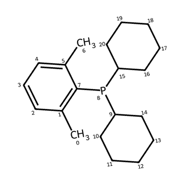 Cc1cccc(C)c1P(C1CCCCC1)C1CCCCC1